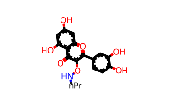 CCCNOc1c(-c2ccc(O)c(O)c2)oc2cc(O)cc(O)c2c1=O